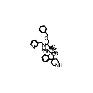 CS(=O)(=O)[N+]1(NC(=O)C(COCc2ccccc2)NCc2cccnc2)CC2(CCNCC2)c2ccccc21